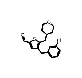 O=Cc1cc(Cc2cccc(Cl)c2)c(CC2CCOCC2)s1